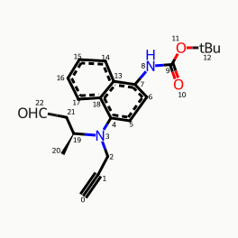 C#CCN(c1ccc(NC(=O)OC(C)(C)C)c2ccccc12)[C@@H](C)CC=O